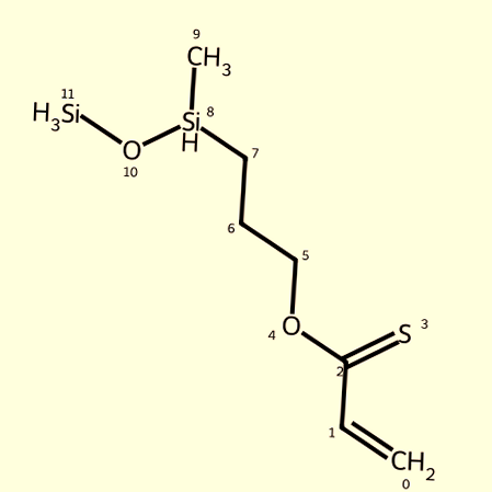 C=CC(=S)OCCC[SiH](C)O[SiH3]